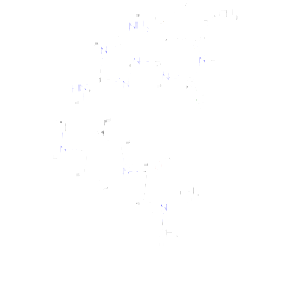 Cc1csc2c(-n3nc(Nc4cnc5c(c4)CN(C(=O)CN(C)C)CC5)nc3N)nc(Cl)nc12